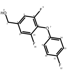 OCc1cc(F)c(Oc2ccc(F)cc2)c(F)c1